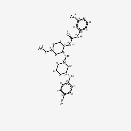 CC(=O)CN1CC[C@@H](NC(=O)Nc2cccc(C(C)=O)c2)[C@H](CN2CCC[C@@H](Cc3ccc(F)cc3)C2)C1